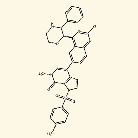 Cc1ccc(S(=O)(=O)n2ccc3c(-c4ccc5nc(Cl)nc([C@H]6OCCNC6c6ccccc6)c5c4)cn(C)c(=O)c32)cc1